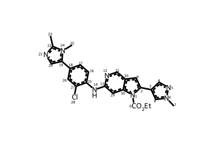 CCOC(=O)n1c(-c2cnn(C)c2)cc2cnc(Nc3ccc(-c4cnc(C)n4C)cc3Cl)cc21